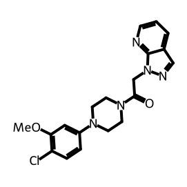 COc1cc(N2CCN(C(=O)Cn3ncc4cccnc43)CC2)ccc1Cl